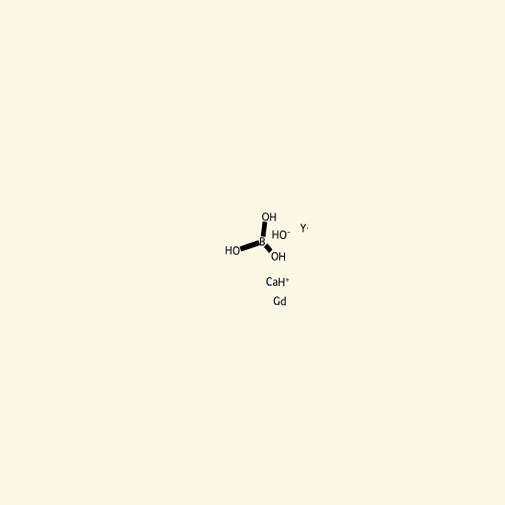 OB(O)O.[CaH+].[Gd].[OH-].[Y]